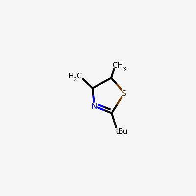 CC1N=C(C(C)(C)C)SC1C